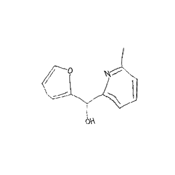 Cc1cccc(C(O)c2ccco2)n1